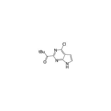 CC(C)(C)C(=O)c1nc(Cl)c2cc[nH]c2n1